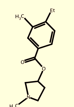 CCc1ccc(C(=O)OC2CCN(C)C2)cc1C